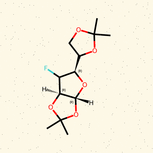 CC1(C)OCC([C@H]2O[C@@H]3OC(C)(C)O[C@H]3C2F)O1